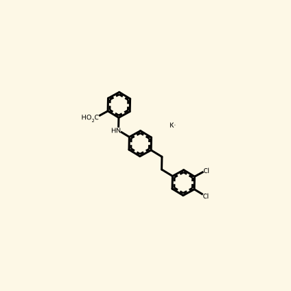 O=C(O)c1ccccc1Nc1ccc(CCc2ccc(Cl)c(Cl)c2)cc1.[K]